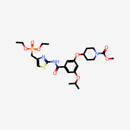 CCOP(=O)(Cc1csc(NC(=O)c2cc(OC(C)C)cc(OC3CCN(C(=O)OC)CC3)c2)n1)OCC